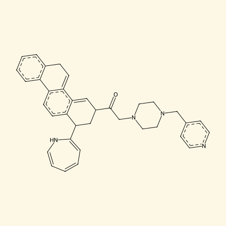 O=C(CN1CCN(Cc2ccncc2)CC1)C1C=c2c(ccc3c2=CCc2ccccc2-3)C(C2=CC=CC=CN2)C1